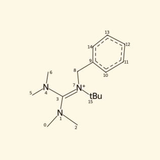 CN(C)C(N(C)C)=[N+](Cc1ccccc1)C(C)(C)C